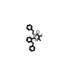 Cc1nc(-c2ccccc2Cc2ccccc2)n(CCc2ccccc2)c(=O)c1I